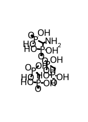 NC(P(=O)(O)O)P(=O)(O)O.O=P(O)(O)CP(=O)(O)O.O=P(O)(O)CP(=O)(O)O